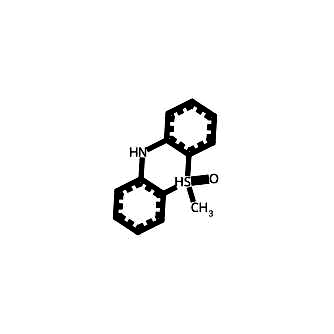 C[SH]1(=O)c2ccccc2Nc2ccccc21